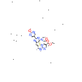 CCOC(=O)c1cnc(N(C)C(C)c2cc3nc(-c4cnc(OC)nc4)nc(N4CCOCC4)c3s2)nc1